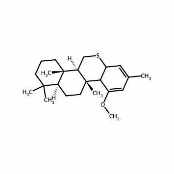 COC1=CC(C)=CC2SC[C@@H]3[C@@]4(C)CCCC(C)(C)[C@@H]4CC[C@@]3(C)C12